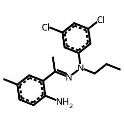 CCCN(/N=C(\C)c1cc(C)ccc1N)c1cc(Cl)cc(Cl)c1